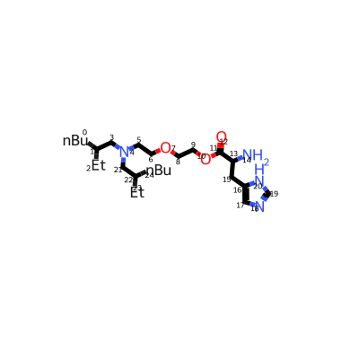 CCCCC(CC)CN(CCOCCOC(=O)C(N)Cc1cnc[nH]1)CC(CC)CCCC